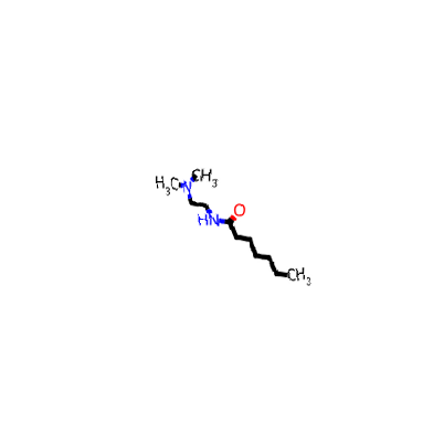 CCCCCCC(=O)NCCN(C)C